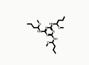 CCCC(Nc1nc(NC(CCC)OC)nc(NC(CCC)OC)n1)OC